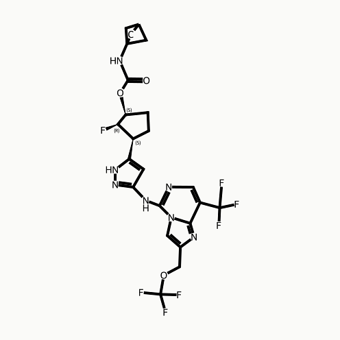 O=C(NC12CC(C1)C2)O[C@H]1CC[C@@H](c2cc(Nc3ncc(C(F)(F)F)c4nc(COC(F)(F)F)cn34)n[nH]2)[C@H]1F